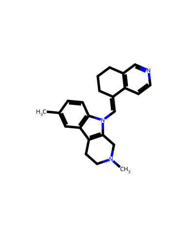 Cc1ccc2c(c1)c1c(n2/C=C2\CCCc3cnccc32)CN(C)CC1